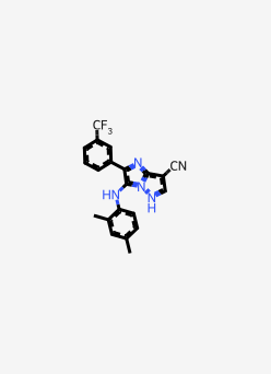 Cc1ccc(Nc2c(-c3cccc(C(F)(F)F)c3)nc3c(C#N)c[nH]n23)c(C)c1